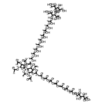 CC(=O)O.CC(=O)O.CC(=O)O.CC(=O)O.CC(=O)O.CC(=O)O.CC(=O)O.CC(=O)O.CC(=O)O.CC(=O)O.CC(=O)O.CC(=O)O.CC(=O)O.CC(=O)O.CC(=O)O.CC(=O)O.CC(=O)OC[C@H]1O[C@@](COC(C)=O)(O[C@H]2O[C@H](COC(C)=O)[C@@H](OC(C)=O)[C@H](OC(C)=O)[C@H]2OC(C)=O)[C@@H](OC(C)=O)[C@@H]1OC(C)=O.O=C[C@H](O)[C@@H](O)[C@@H](O)[C@H](O)CO.O=C[C@H](O)[C@@H](O)[C@H](O)[C@H](O)CO.OC[C@@H](O)[C@@H](O)[C@H](O)[C@@H](O)CO